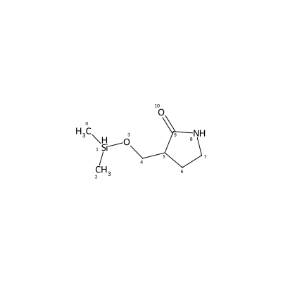 C[SiH](C)OCC1CCNC1=O